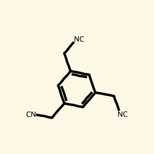 [C-]#[N+]Cc1cc(C[N+]#[C-])cc(C[N+]#[C-])c1